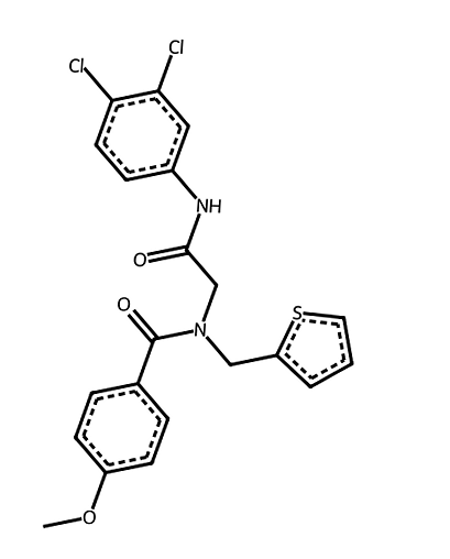 COc1ccc(C(=O)N(CC(=O)Nc2ccc(Cl)c(Cl)c2)Cc2cccs2)cc1